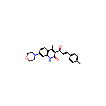 Cc1ccc(/C=C/C(=O)c2c(C)c3ccc(N4CCOCC4)cc3[nH]c2=O)cc1